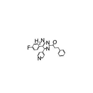 Nc1nc(C(=O)CCc2ccccc2)nc(-c2ccncc2)c1-c1ccc(F)cc1